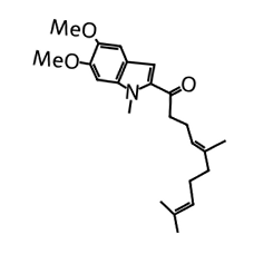 COc1cc2cc(C(=O)CC/C=C(\C)CCC=C(C)C)n(C)c2cc1OC